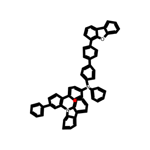 c1ccc(-c2ccc(-c3ccc(N(c4ccccc4)c4ccc(-c5ccc(-c6cccc7c6oc6ccccc67)cc5)cc4)cc3)c(-n3c4ccccc4c4ccccc43)c2)cc1